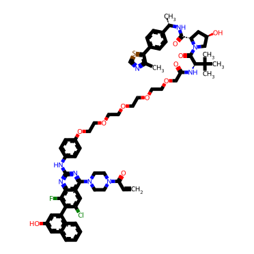 C=CC(=O)N1CCN(c2nc(Nc3ccc(OCCOCCOCCOCCOCC(=O)N[C@H](C(=O)N4C[C@H](O)C[C@H]4C(=O)N[C@@H](C)c4ccc(-c5scnc5C)cc4)C(C)(C)C)cc3)nc3c(F)c(-c4cc(O)cc5ccccc45)c(Cl)cc23)CC1